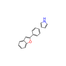 c1cc[nH]c1.c1ccc(-c2cc3ccccc3o2)cc1